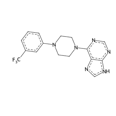 FC(F)(F)c1cccc(N2CCN(c3ncnc4[nH]cnc34)CC2)c1